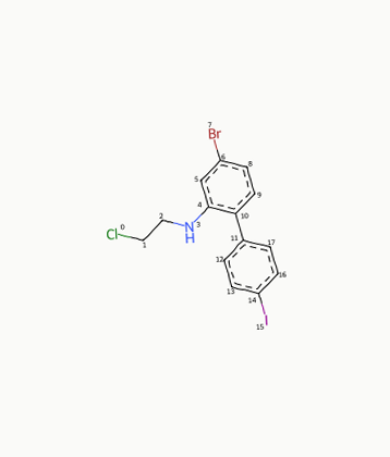 ClCCNc1cc(Br)ccc1-c1ccc(I)cc1